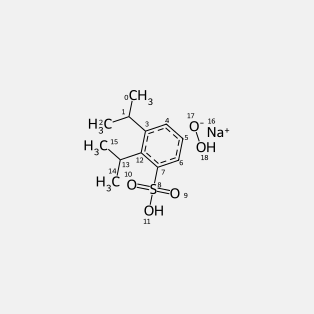 CC(C)c1cccc(S(=O)(=O)O)c1C(C)C.[Na+].[O-]O